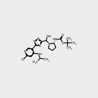 CC(C)Nc1cc(Cl)ncc1-c1nnc(C(O)N2CCC[C@H]2NC(=O)OC(C)(C)C)s1